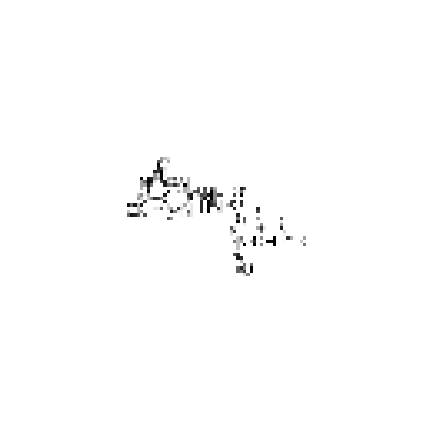 CCCCC[C@H](CN(O)C=O)C(=O)NNc1ncc2c(Cl)nn(C)c2n1